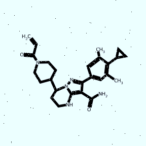 C=CC(=O)N1CCC(C2CCNc3c(C(N)=O)c(-c4cc(C)c(C5CC5)c(C)c4)nn32)CC1